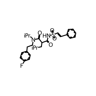 CC(C)CC(C(=O)NS(=O)(=O)C=Cc1ccccc1)C(=O)N(CCc1ccc(F)cc1)C(C)C